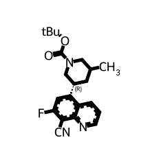 CC1C[C@H](c2cc(F)c(C#N)c3ncccc23)CN(C(=O)OC(C)(C)C)C1